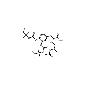 CCC(C)(C)OC(=O)Oc1ccc(C[C@H](NCC(C)OC(C)=O)C(=O)O)cc1OC(=O)OC(C)(C)CC